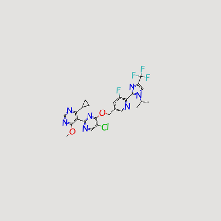 COc1ncnc(C2CC2)c1-c1ncc(Cl)c(OCc2cnc(-c3nc(C(F)(F)F)cn3C(C)C)c(F)c2)n1